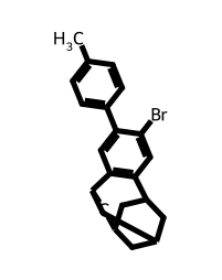 Cc1ccc(-c2cc3c(cc2Br)C2CC4CC(C2)CC3C4)cc1